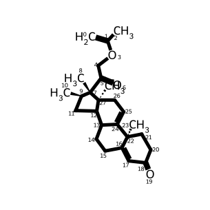 C=C(C)OCC(=O)[C@@]1(C)[C@H](C)CC2C3CCC4=CC(=O)CC[C@]4(C)C3=CC[C@@]21C